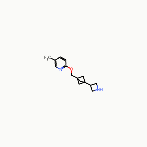 FC(F)(F)c1ccc(OCC23CC(C4CNC4)(C2)C3)nc1